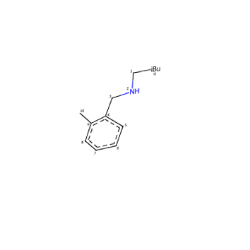 CCC(C)CNCc1ccccc1C